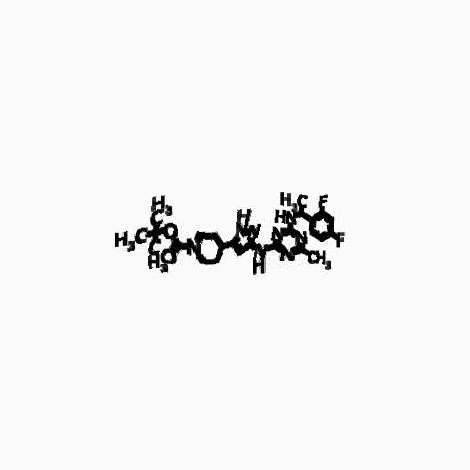 Cc1nc(Nc2cc(C3CCN(C(=O)OC(C)(C)C)CC3)[nH]n2)nc(NC(C)c2ccc(F)cc2F)n1